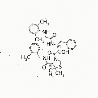 Cc1ccccc1CNC(=O)[C@H]1N(C(=O)[C@@H](O)[C@H](Cc2ccccc2)NC(=O)CNc2c(C)cccc2C)CSC1(C)C